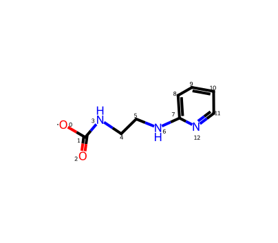 [O]C(=O)NCCNc1ccccn1